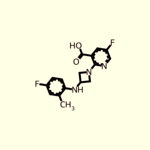 Cc1cc(F)ccc1NC1CN(c2ncc(F)cc2C(=O)O)C1